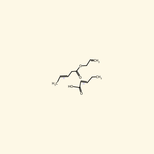 C=CCOC(=O)C/C=C/C.CC/C=C/C(=O)O